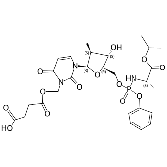 CC(C)OC(=O)[C@H](C)NP(=O)(OC[C@H]1O[C@@H](n2ccc(=O)n(COC(=O)CCC(=O)O)c2=O)[C@@H](C)[C@@H]1O)Oc1ccccc1